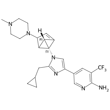 CN1CCN(C2C=C3[C@H]4C2[C@]34n2cc(-c3cnc(N)c(C(F)(F)F)c3)nc2CC2CC2)CC1